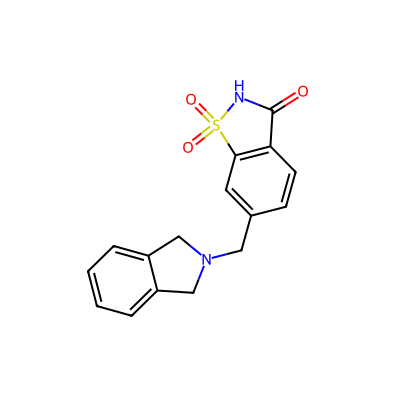 O=C1NS(=O)(=O)c2cc(CN3Cc4ccccc4C3)ccc21